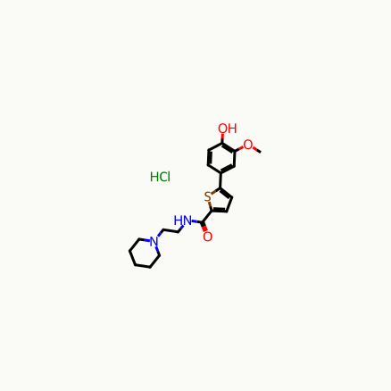 COc1cc(-c2ccc(C(=O)NCCN3CCCCC3)s2)ccc1O.Cl